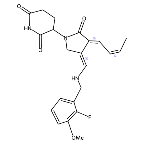 C\C=C/C=C1/C(=O)N(C2CCC(=O)NC2=O)C/C1=C\NCc1cccc(OC)c1F